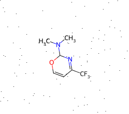 CN(C)C1N=C(C(F)(F)F)C=CO1